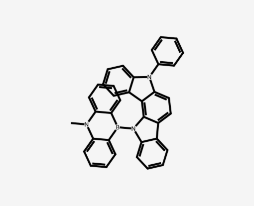 CN1c2ccccc2B(n2c3ccccc3c3ccc4c(c5ccccc5n4-c4ccccc4)c32)c2ccccc21